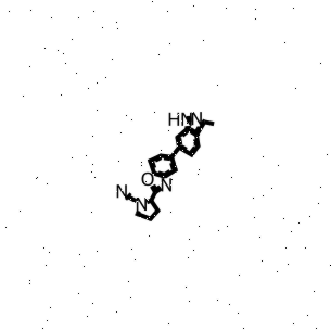 Cc1n[nH]c2cc(-c3ccc4oc(C5CCCN5C#N)nc4c3)ccc12